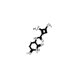 CC1=CC(C(=O)NC2CCC(=O)NC2=O)=C1C